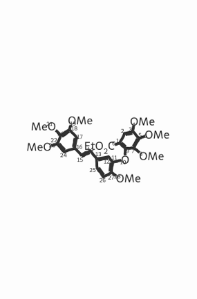 CCOC(=O)c1cc(OC)c(OC)c(OC)c1Oc1cc(C=Cc2cc(OC)c(OC)c(OC)c2)ccc1OC